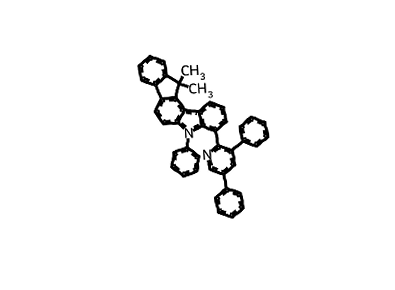 CC1(C)c2ccccc2-c2ccc3c(c21)c1cccc(-c2ncc(-c4ccccc4)cc2-c2ccccc2)c1n3-c1ccccc1